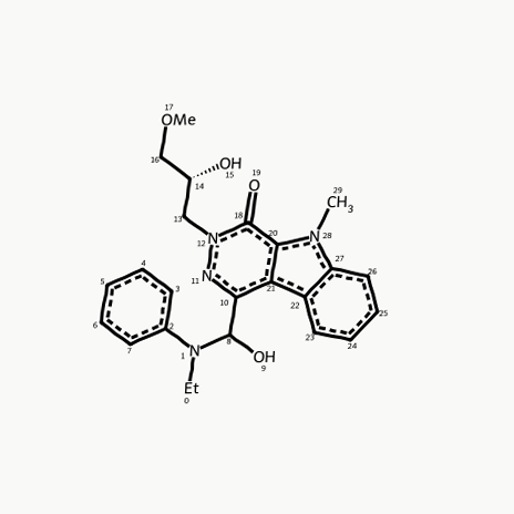 CCN(c1ccccc1)C(O)c1nn(C[C@@H](O)COC)c(=O)c2c1c1ccccc1n2C